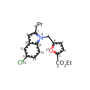 CCOC(=O)c1ccc(Cn2c(C(C)C)cc3cc(Cl)ccc32)o1